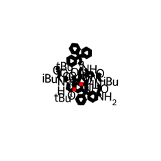 CC[C@H](C)[C@H](NC(=O)CN)C(=O)NCC(=O)N[C@@H](CSC(c1ccccc1)(c1ccccc1)c1ccccc1)C(=O)N[C@@H](CC(=O)NC(c1ccccc1)(c1ccccc1)c1ccccc1)C(=O)N1C[C@H](OC(C)(C)C)C[C@H]1C(=O)N[C@H](C(=O)OC(C)(C)C)[C@@H](C)CC